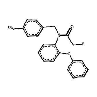 CC(C)(C)c1ccc(CN(C(=O)CF)c2ccccc2Oc2ccccc2)cc1